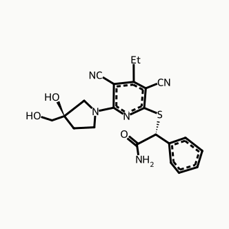 CCc1c(C#N)c(S[C@@H](C(N)=O)c2ccccc2)nc(N2CC[C@](O)(CO)C2)c1C#N